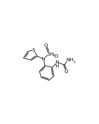 NC(=O)Nc1ccccc1N(c1cccs1)[SH](=O)=O